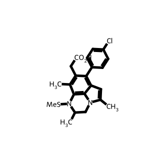 CSN1c2c(C)c(CC(=O)O)c(-c3ccc(Cl)cc3)c3cc(C)n(c23)CC1C